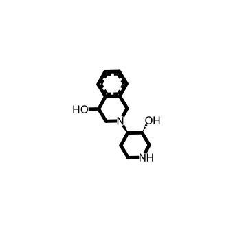 OC1CN([C@@H]2CCNC[C@H]2O)Cc2ccccc21